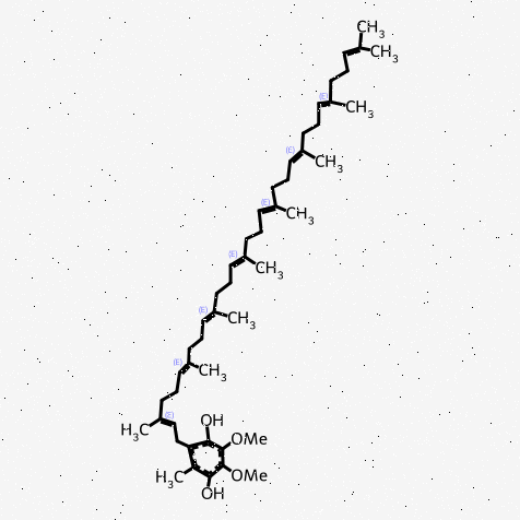 COc1c(O)c(C)c(C/C=C(\C)CC/C=C(\C)CC/C=C(\C)CC/C=C(\C)CC/C=C(\C)CC/C=C(\C)CC/C=C(\C)CCC=C(C)C)c(O)c1OC